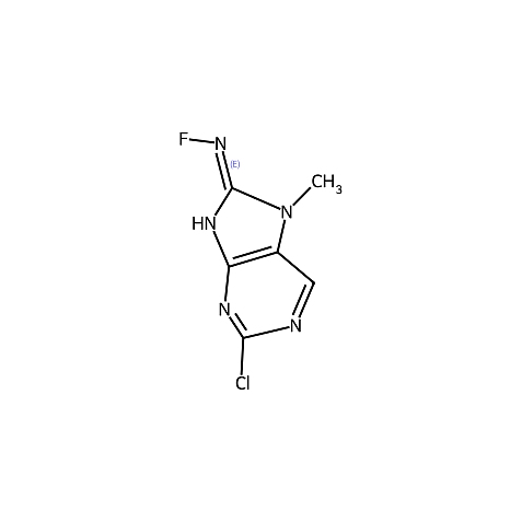 Cn1/c(=N/F)[nH]c2nc(Cl)ncc21